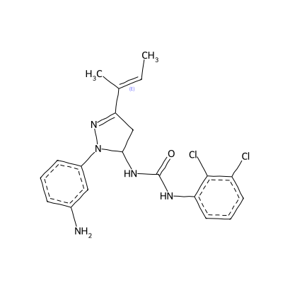 C/C=C(\C)C1=NN(c2cccc(N)c2)C(NC(=O)Nc2cccc(Cl)c2Cl)C1